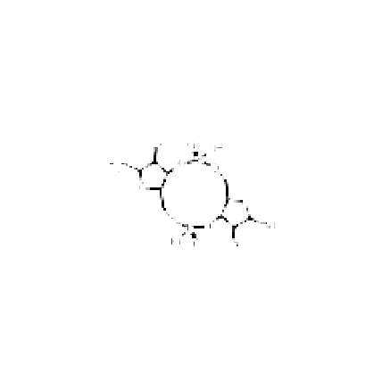 BC1OC2COP(=O)(O)OC3C(COP(=O)(O)OC2C1O)OC(B)C3O